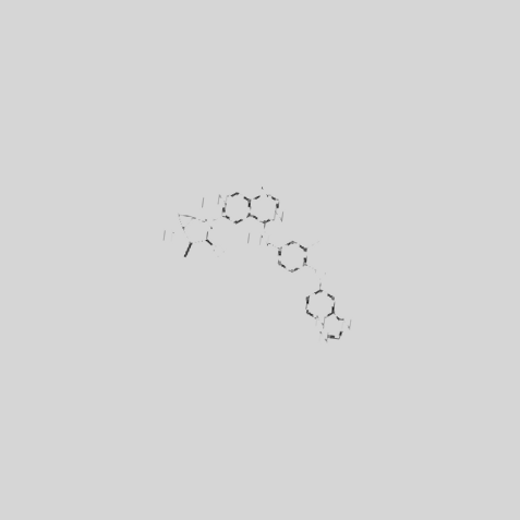 C=C1C(=O)N(c2cc3c(Nc4ccc(Oc5ccn6ncnc6c5)c(C)c4)ncnc3cn2)[C@@H]2C[C@H]12